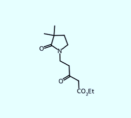 CCOC(=O)CC(=O)CCN1CCC(C)(C)C1=O